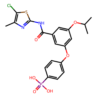 Cc1nc(NC(=O)c2cc(Oc3ccc(P(=O)(O)O)cc3)cc(OC(C)C)c2)sc1Cl